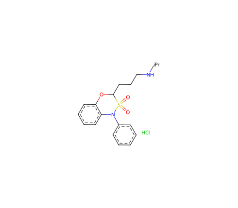 CC(C)NCCCC1Oc2ccccc2N(c2ccccc2)S1(=O)=O.Cl